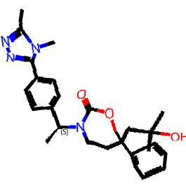 Cc1nnc(-c2ccc([C@H](C)N3CCC(CC(C)(C)O)(c4ccccc4)OC3=O)cc2)n1C